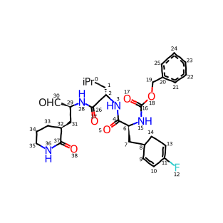 CC(C)C[C@H](NC(=O)[C@H](CC1C=CC(F)=CC1)NC(=O)OCc1ccccc1)C(=O)N[C@H](C=O)C[C@@H]1CCCNC1=O